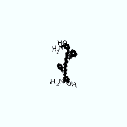 NCc1cc(CCN(CCCCCCN(CCc2ccc(O)c(CN)c2)Cc2ccccc2)Cc2ccccc2)ccc1O